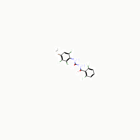 O=C(NC(=O)c1c(F)cccc1Cl)Nc1c(F)cc(SC(F)(F)F)c(F)c1F